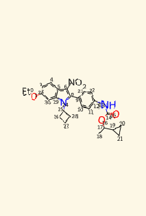 CCOc1ccc2c([N+](=O)[O-])c(-c3ccc(NC(=O)OC(C)C4CC4)cc3)n(C3CCC3)c2c1